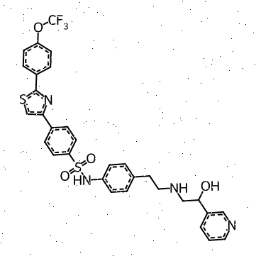 O=S(=O)(Nc1ccc(CCNCC(O)c2cccnc2)cc1)c1ccc(-c2csc(-c3ccc(OC(F)(F)F)cc3)n2)cc1